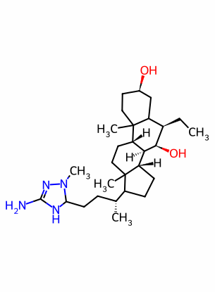 CC[C@@H]1C2C[C@H](O)CCC2(C)[C@H]2CCC3(C)C([C@H](C)CCC4NC(N)=NN4C)CC[C@H]3[C@@H]2[C@@H]1O